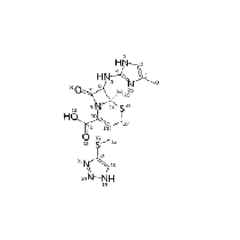 Cc1c[nH]c(NC2C(=O)N3C(C(=O)O)=C(CSc4c[nH]nn4)CS[C@H]23)n1